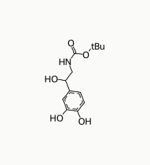 CC(C)(C)OC(=O)NCC(O)c1ccc(O)c(O)c1